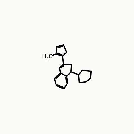 CC1=C(C2=Cc3ccccc3C(C3CCCCC3)C2)CC=C1